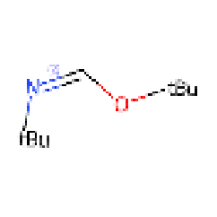 CC(C)(C)/N=C\OC(C)(C)C